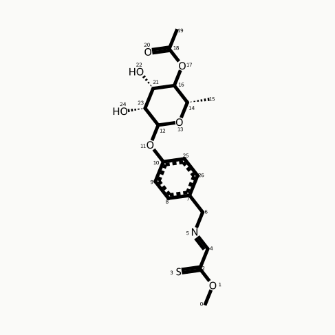 COC(=S)/C=N/Cc1ccc(OC2O[C@@H](C)C(OC(C)=O)[C@@H](O)[C@H]2O)cc1